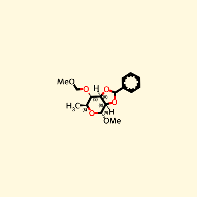 COCO[C@@H]1[C@H]2OC(c3ccccc3)O[C@H]2[C@H](OC)O[C@H]1C